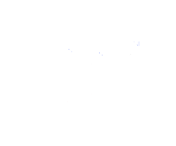 CCc1cnc(C(=O)NC(C)(C(N)=O)C(C)C)c(C(=O)OC)c1